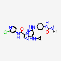 CCN(C)C(=O)N[C@H]1CC[C@H](Nc2cc(NC3CC3)c3ncc(C(=O)Nc4ccnc(Cl)c4)n3n2)CC1